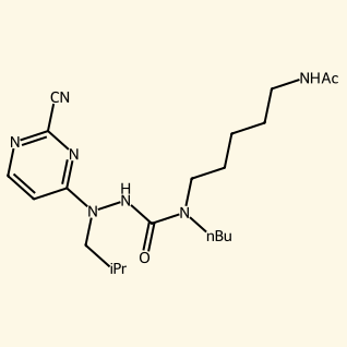 CCCCN(CCCCCNC(C)=O)C(=O)NN(CC(C)C)c1ccnc(C#N)n1